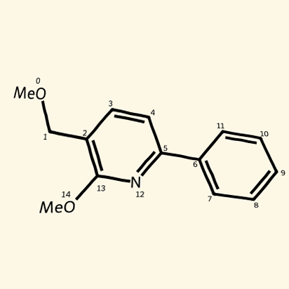 COCc1ccc(-c2ccccc2)nc1OC